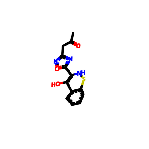 CC(=O)Cc1noc(C2=C(O)c3ccccc3SN2)n1